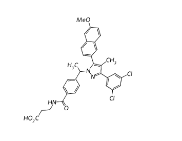 COc1ccc2cc(-c3c(C)c(-c4cc(Cl)cc(Cl)c4)nn3C(C)c3ccc(C(=O)NCCC(=O)O)cc3)ccc2c1